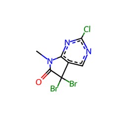 CN1C(=O)C(Br)(Br)c2cnc(Cl)nc21